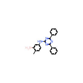 Bc1cc(Nc2nc(-c3ccccc3)nc(-c3ccccc3)n2)ccc1C